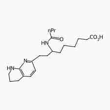 CCCC(=O)NC(CCCCCC(=O)O)CCc1ccc2c(n1)NCCC2